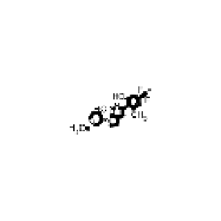 CCN1CC[C@@H](O)[C@@H](N2CCc3cc(-c4c(C)cc(C(F)(F)F)cc4O)nnc32)C1